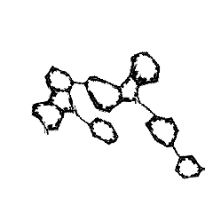 c1ccc(-c2ccc(-n3c4ccccc4c4cc(-c5cccc6c7ccncc7n(-c7ccccc7)c56)ccc43)cc2)cc1